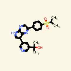 CC(C)S(=O)(=O)c1ccc(-c2cnc3[nH]cc(-c4cncc(C(C)(C)O)c4)c3n2)cc1